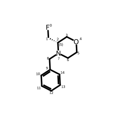 FC[C@@H]1COCCN1Cc1ccccc1